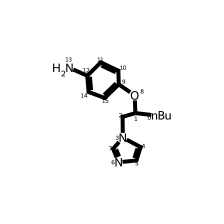 CCCCC(Cn1ccnc1)Oc1ccc(N)cc1